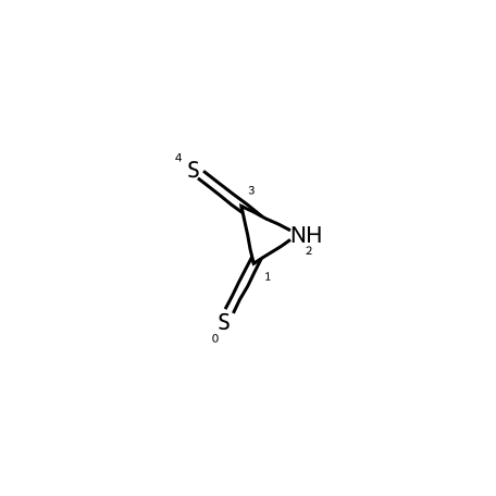 S=c1[nH]c1=S